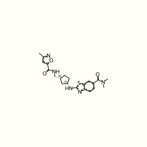 Cc1cc(C(=O)NC[C@@H]2CC[C@H](Nc3nc4ccc(C(=O)N(C)C)cc4s3)C2)on1